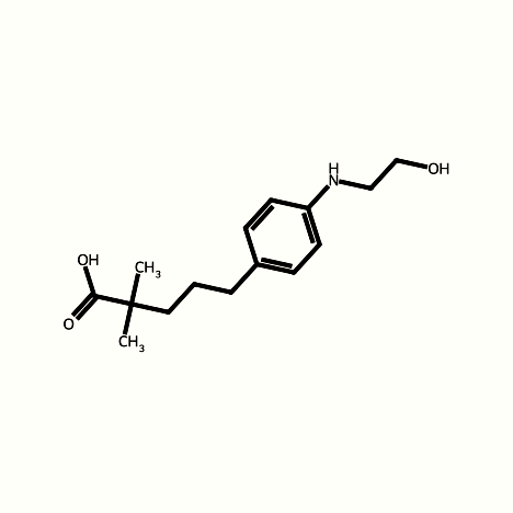 CC(C)(CCCc1ccc(NCCO)cc1)C(=O)O